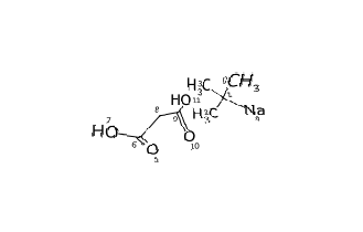 C[C](C)(C)[Na].O=C(O)CC(=O)O